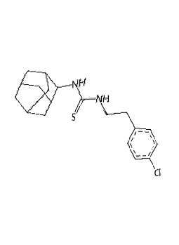 S=C(NCCc1ccc(Cl)cc1)NC1C2CC3CC(C2)CC1C3